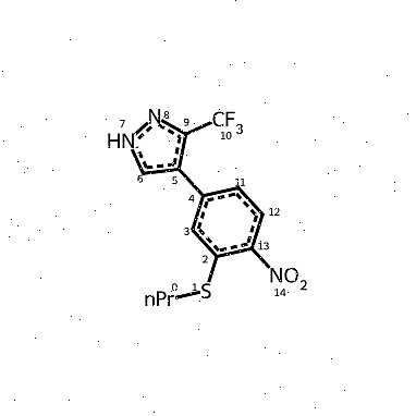 CCCSc1cc(-c2c[nH]nc2C(F)(F)F)ccc1[N+](=O)[O-]